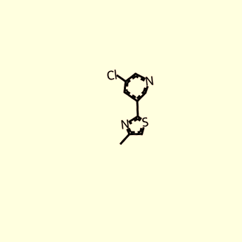 Cc1csc(-c2cncc(Cl)c2)n1